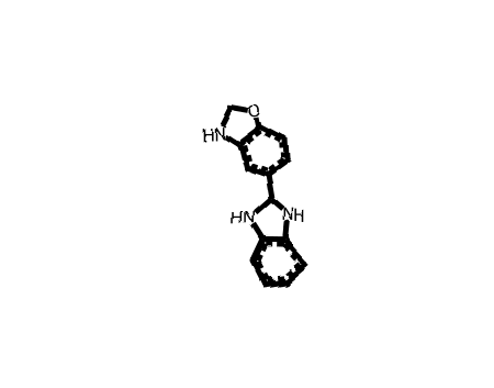 c1ccc2c(c1)NC(c1ccc3c(c1)NCO3)N2